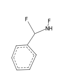 FNC(F)c1ccccc1